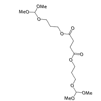 COC(OC)OCCCOC(=O)CCC(=O)OCCCOC(OC)OC